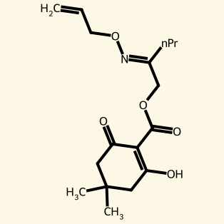 C=CCON=C(CCC)COC(=O)C1=C(O)CC(C)(C)CC1=O